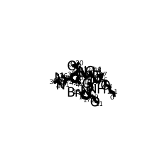 C/C=C/COC[C@@]12C[C@@H](C(=O)Nc3nc(Br)ccc3COC)N(C(=O)Cn3nc(C(C)=O)c4cc(-c5cnc(C)nc5)cc(C)c43)[C@@H]1C2